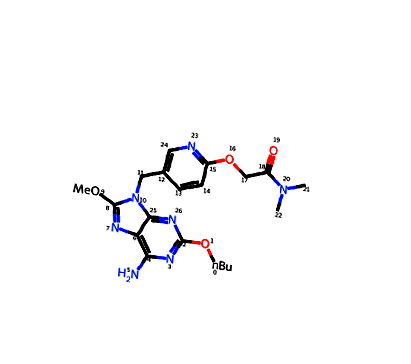 CCCCOc1nc(N)c2nc(OC)n(Cc3ccc(OCC(=O)N(C)C)nc3)c2n1